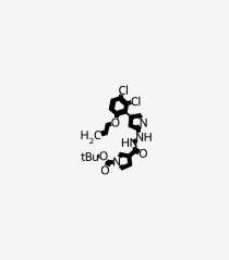 C=CCOc1ccc(Cl)c(Cl)c1[C@H]1CN=C(NNC(=O)C2CCN(C(=O)OC(C)(C)C)C2)C1